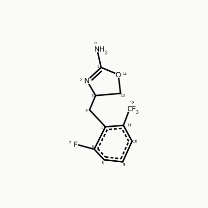 NC1=NC(Cc2c(F)cccc2C(F)(F)F)CO1